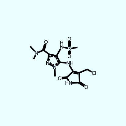 CN(C)C(=O)c1nn(C)c(NC2=C(CCl)C(=O)NC2=O)c1NS(C)(=O)=O